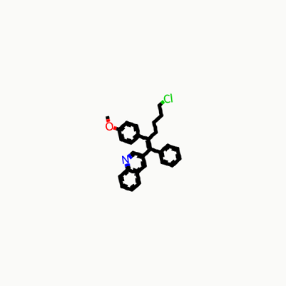 COc1ccc(/C(CCCCCl)=C(/c2ccccc2)c2cnc3ccccc3c2)cc1